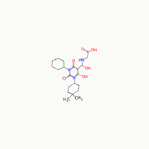 CC1(C)CCC(n2c(O)c(C(O)NCC(=O)O)c(=O)n(C3CCCCC3)c2=O)CC1